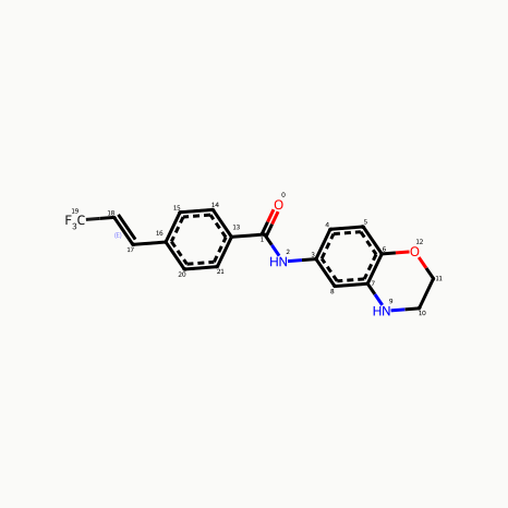 O=C(Nc1ccc2c(c1)NCCO2)c1ccc(/C=C/C(F)(F)F)cc1